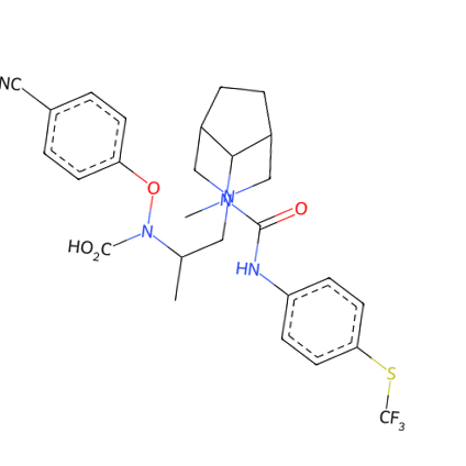 CC(CN1CC2CCC(C1)C2N(C)C(=O)Nc1ccc(SC(F)(F)F)cc1)N(Oc1ccc(C#N)cc1)C(=O)O